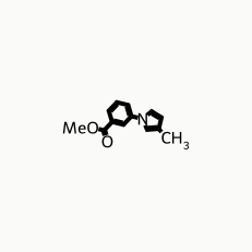 COC(=O)c1cccc(-n2ccc(C)c2)c1